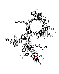 CC(=O)NCCCC[C@@H]1NC(=O)[C@H](Cc2c[nH]c3c(C)cccc23)NC(=O)[C@H]([C@@H](C)O)NC(=O)[C@H](CC(N)=O)NC(=O)[C@@H](NC(C)=O)C(C)(C)SSC(C)(C)[C@@H](C(=O)N[C@@H](Cc2ccc(OCCNC(=N)N)cc2)C(=O)N[C@@H](Cc2ccc3ccccc3c2)C(=O)NC2(C(=O)N[C@@H](CCC(=O)O)C(=O)N[C@@H](CC(N)=O)C(=O)N[C@@H](Cc3cccnc3)C(=O)N(C)CC(N)=O)CCOCC2)NC1=O